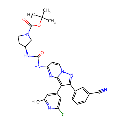 Cc1cc(-c2c(-c3cccc(C#N)c3)nn3ccc(NC(=O)N[C@H]4CCN(C(=O)OC(C)(C)C)C4)nc23)cc(Cl)n1